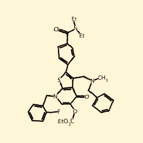 CCOC(=O)Oc1cn(Cc2ccccc2F)c2sc(-c3ccc(C(=O)N(CC)CC)cc3)c(CN(C)Cc3ccccc3)c2c1=O